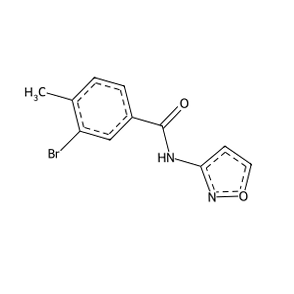 Cc1ccc(C(=O)Nc2ccon2)cc1Br